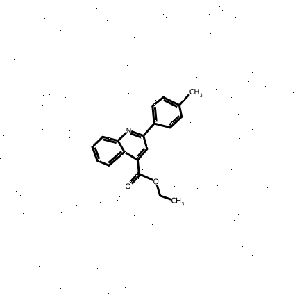 CCOC(=O)c1cc(-c2ccc(C)cc2)nc2ccccc12